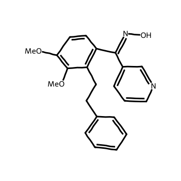 COc1ccc(C(=NO)c2cccnc2)c(CCc2ccccc2)c1OC